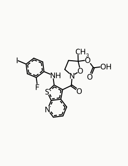 CC1(OC(=O)O)CCN(C(=O)c2c(Nc3ccc(I)cc3F)sc3ncccc23)O1